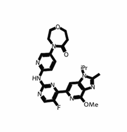 COc1nc(-c2nc(Nc3ccc(N4CCOCCC4=O)cn3)ncc2F)cc2c1nc(C)n2C(C)C